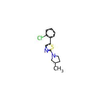 C[C]1CCN(c2ncc(-c3ccccc3Cl)s2)C1